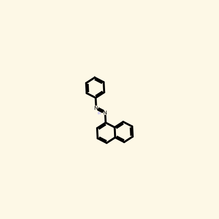 [c]1ccc(/N=N/c2cccc3ccccc23)cc1